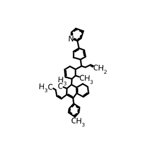 C=CCC(C1C=CC(c2ccccn2)=CC1)C1CC=CC(C2C3=C(C=CCC3)C(c3ccc(C)cc3)=C(/C=C\CC)C2C)C1C